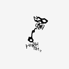 N=C(N)Nc1cccc(CCCNS(=O)(=O)c2cccc3cnccc23)c1